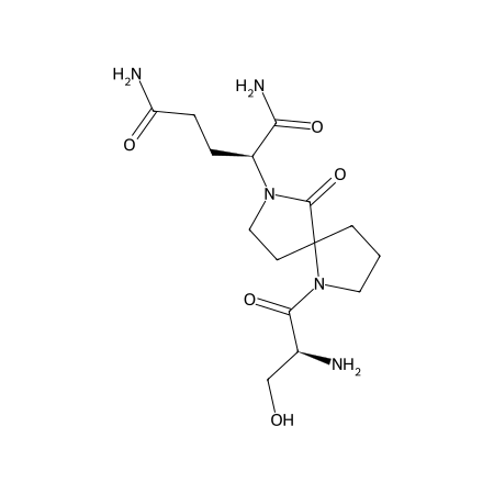 NC(=O)CC[C@@H](C(N)=O)N1CCC2(CCCN2C(=O)[C@@H](N)CO)C1=O